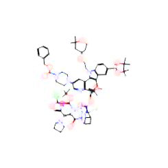 CO[C@@H](C)c1ncc(N2CCN(C(=O)OCc3ccccc3)CC2)cc1-c1c(CC(C)(C)COC(=O)[C@H]2NN(C(=O)[C@@H](NC(=O)OC(C)(C)C)[C@@H](c3coc(Br)n3)N3CCCC3)C3CC2C3)c2cc(B3OC(C)(C)C(C)(C)O3)ccc2n1CCO[C@H]1CCOC(C)(C)C1